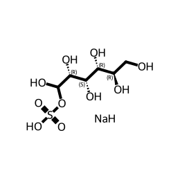 O=S(=O)(O)OC(O)[C@H](O)[C@@H](O)[C@H](O)[C@H](O)CO.[NaH]